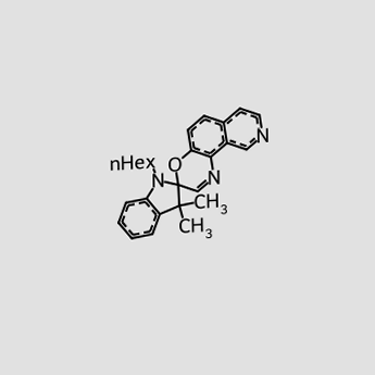 CCCCCCN1c2ccccc2C(C)(C)C12C=Nc1c(ccc3ccncc13)O2